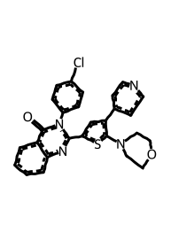 O=c1c2ccccc2nc(-c2cc(-c3ccncc3)c(N3CCOCC3)s2)n1-c1ccc(Cl)cc1